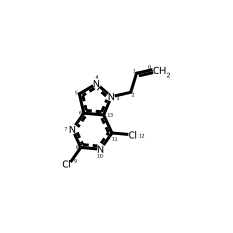 C=CCn1ncc2nc(Cl)nc(Cl)c21